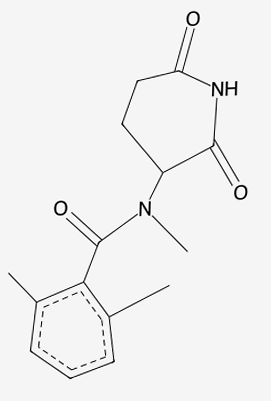 Cc1cccc(C)c1C(=O)N(C)C1CCC(=O)NC1=O